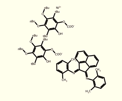 CCCCOc1c(OCCCC)c(C(C)(C)C)c(OC(=O)[O-])c(O)c1C(C)(C)C.CCCCOc1c(OCCCC)c(C(C)(C)C)c(OC(=O)[O-])c(O)c1C(C)(C)C.Cc1cccc(C)c1N=C1C(=Nc2c(C)cccc2C)c2cccc3cccc1c23.[Ni+2]